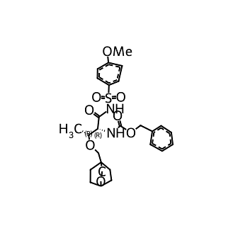 COc1ccc(S(=O)(=O)NC(=O)[C@H](NC(=O)OCc2ccccc2)[C@@H](C)OCC23CCC(CC2)OC3)cc1